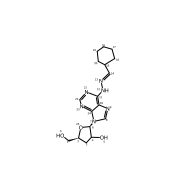 OC[C@@H]1CC(O)[C@H](n2cnc3c(N/N=C/C4CCCCC4)ncnc32)O1